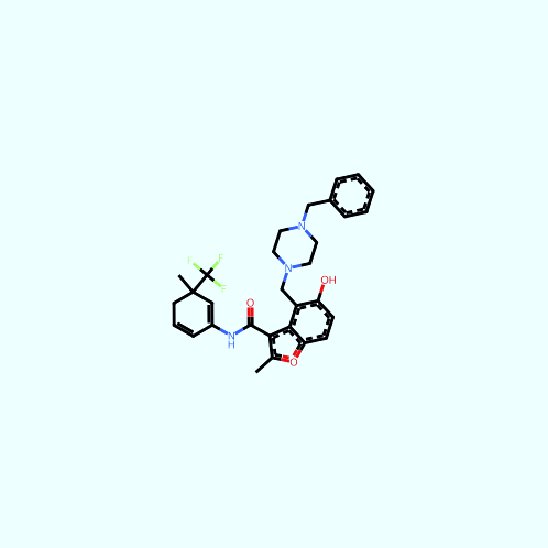 Cc1oc2ccc(O)c(CN3CCN(Cc4ccccc4)CC3)c2c1C(=O)NC1=CC(C)(C(F)(F)F)CC=C1